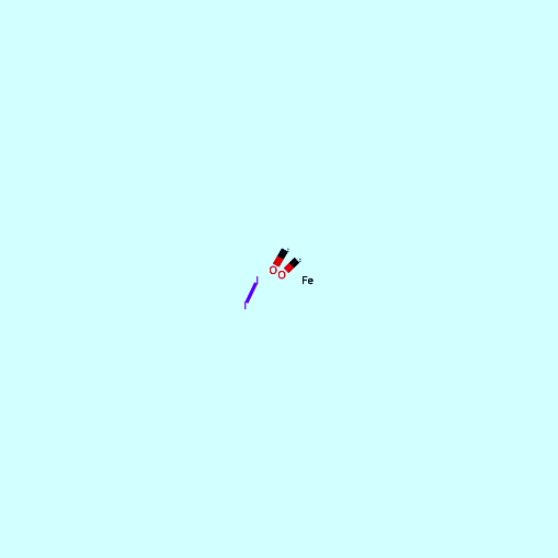 II.[C]=O.[C]=O.[Fe]